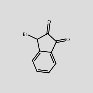 O=C1C(=O)C(Br)c2ccccc21